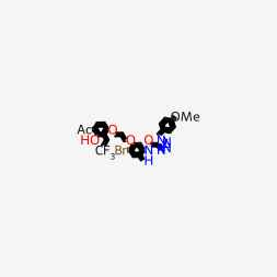 COc1ccc(Cn2nnnc2C(=O)Nc2cc(OCCCOc3ccc(C(C)=O)c(O)c3CCC(F)(F)F)c(Br)cc2C)cc1